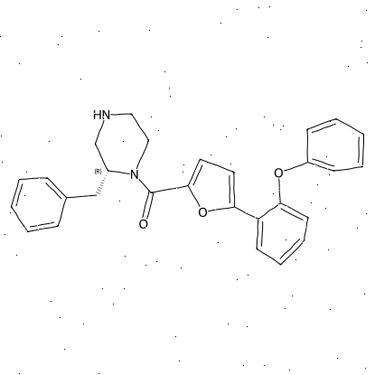 O=C(c1ccc(-c2ccccc2Oc2ccccc2)o1)N1CCNC[C@H]1Cc1ccccc1